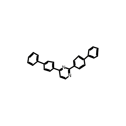 c1ccc(-c2ccc(-c3ccnc(-c4ccc(-c5ccccc5)cc4)n3)cc2)cc1